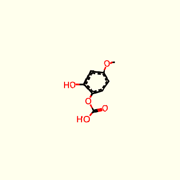 COc1ccc(OC(=O)O)c(O)c1